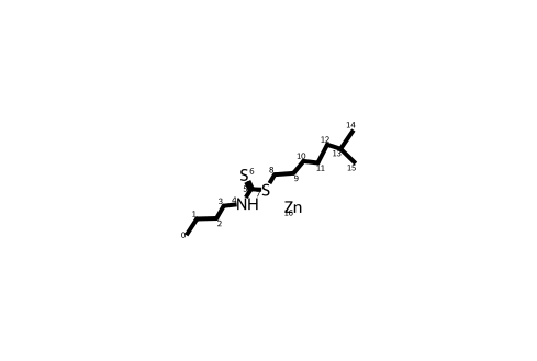 CCCCNC(=S)SCCCCCC(C)C.[Zn]